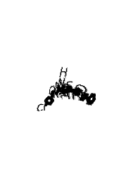 CC(C)(NC(=O)c1cc2c(NC(=O)c3ccc(Cl)cc3)n[nH]c2s1)c1ccccc1